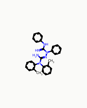 Cc1ccccc1N(C(N)=NN(C(=N)Nc1ccccc1)c1ccccc1)c1ccccc1C